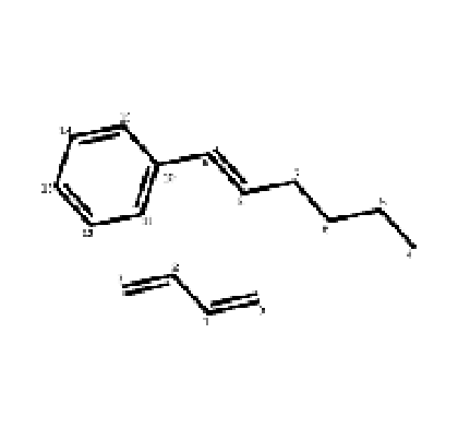 C=CC=C.CCCCC=Cc1ccccc1